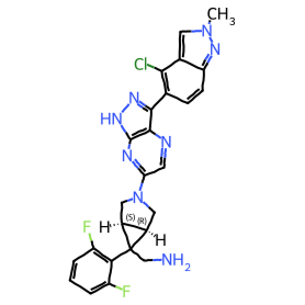 Cn1cc2c(Cl)c(-c3n[nH]c4nc(N5C[C@@H]6[C@H](C5)C6(CN)c5c(F)cccc5F)cnc34)ccc2n1